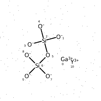 [Ga+3].[O-][Si]([O-])([O-])O[Si]([O-])([O-])[O-].[Y+3]